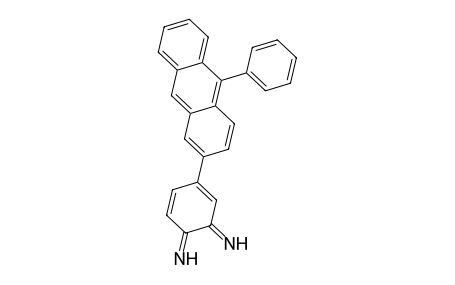 N=C1C=CC(c2ccc3c(-c4ccccc4)c4ccccc4cc3c2)=CC1=N